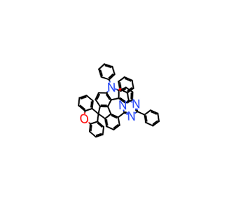 c1ccc(-c2nc(-c3ccccc3)nc(-c3cccc4c3-c3c(ccc5c3c3ccccc3n5-c3ccccc3)C43c4ccccc4Oc4ccccc43)n2)cc1